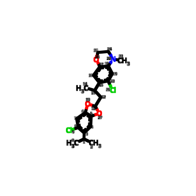 CC(C)c1cc2c(cc1Cl)OC(CC(C)c1cc3c(cc1Cl)N(C)CCO3)O2